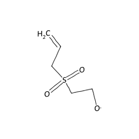 C=CCS(=O)(=O)CC[O]